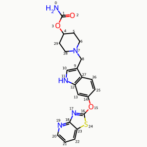 NC(=O)OC1CCN(Cc2c[nH]c3cc(Oc4nc5ncccc5s4)ccc23)CC1